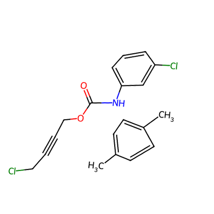 Cc1ccc(C)cc1.O=C(Nc1cccc(Cl)c1)OCC#CCCl